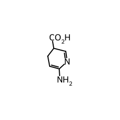 NC1=CCC(C(=O)O)C=N1